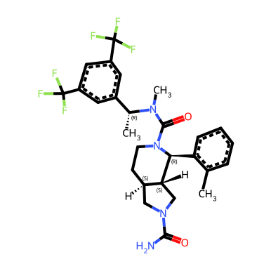 Cc1ccccc1[C@H]1[C@@H]2CN(C(N)=O)C[C@H]2CCN1C(=O)N(C)[C@H](C)c1cc(C(F)(F)F)cc(C(F)(F)F)c1